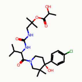 CC(O)C(=O)OC(C)(C)CNC(=O)N[C@@H](C(=O)N1CC[C@](O)(c2ccc(Cl)cc2)C(C)(C)C1)C(C)C